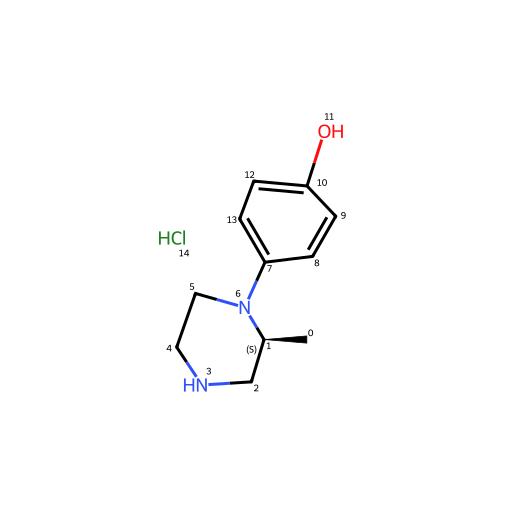 C[C@H]1CNCCN1c1ccc(O)cc1.Cl